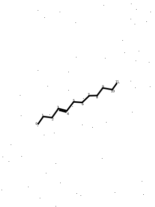 [CH2]CC/C=C/CCCCCC[CH2]